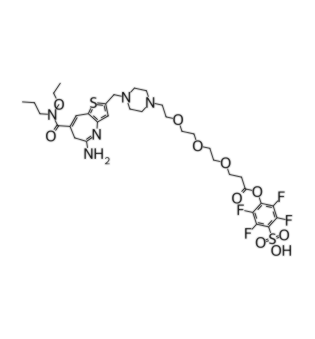 CCCN(OCC)C(=O)C1=Cc2sc(CN3CCN(CCOCCOCCOCCC(=O)Oc4c(F)c(F)c(S(=O)(=O)O)c(F)c4F)CC3)cc2N=C(N)C1